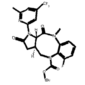 Cc1cc(C(F)(F)F)cc(N2C(=O)C[C@@H]3CN(C(=O)OC(C)(C)C)c4c(F)cccc4N(C)C(=O)[C@H]32)n1